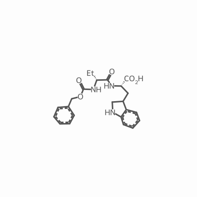 CC[C@@H](NC(=O)OCc1ccccc1)C(=O)N[C@@H](CC1CNc2ccccc21)C(=O)O